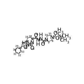 CC(C)(C)OC(=O)N1CCN(C(=O)NNC(=O)[C@@H]2CC[C@@H]3CN2C(=O)N3OCc2ccccc2)CC1